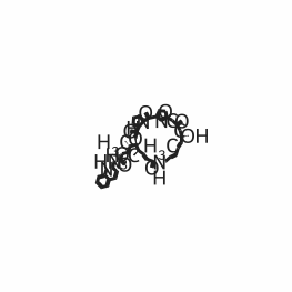 CC1=C\[C@@H](O)CC(=O)Cc2nc(co2)C(=O)N2CCC[C@@H]2C(=O)O[C@H]([C@@H](C)COC(=O)Nc2ccc3ccccc3n2)[C@H](C)/C=C/C(=O)NC\C=C\1